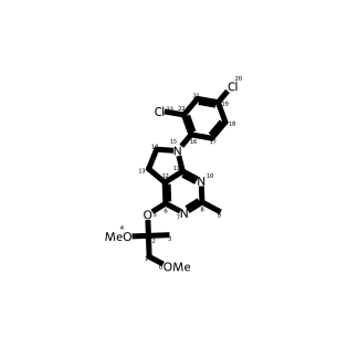 COCC(C)(OC)Oc1nc(C)nc2c1CCN2c1ccc(Cl)cc1Cl